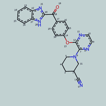 N#CC1CCCN(c2nccnc2Oc2ccc(C(=O)c3nc4ccccc4[nH]3)cc2)C1